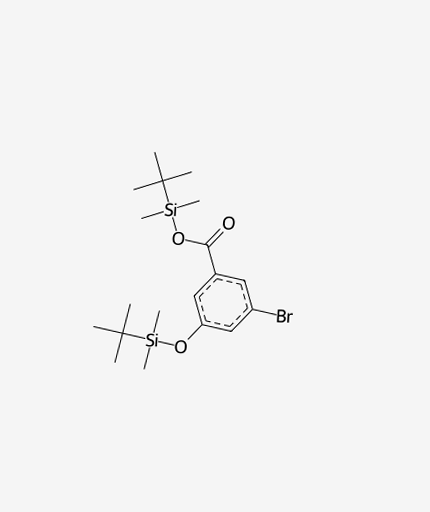 CC(C)(C)[Si](C)(C)OC(=O)c1cc(Br)cc(O[Si](C)(C)C(C)(C)C)c1